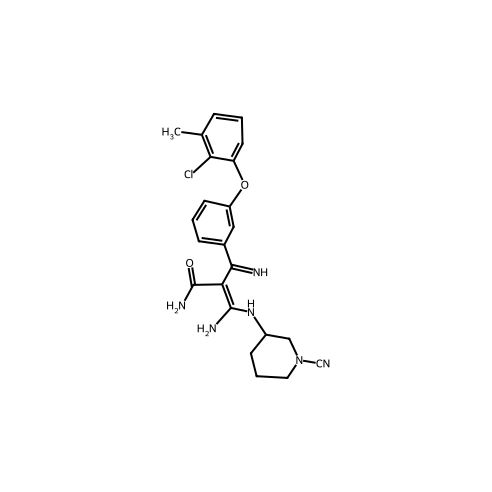 Cc1cccc(Oc2cccc(C(=N)/C(C(N)=O)=C(/N)NC3CCCN(C#N)C3)c2)c1Cl